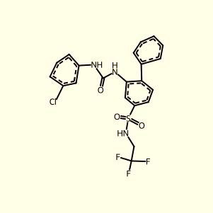 O=C(Nc1cccc(Cl)c1)Nc1cc(S(=O)(=O)NCC(F)(F)F)ccc1-c1ccccc1